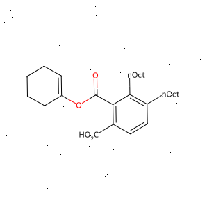 CCCCCCCCc1ccc(C(=O)O)c(C(=O)OC2=CCCCC2)c1CCCCCCCC